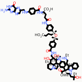 CCNCCc1c([C@@](CCC[C@@](C)(O)CC)(C(=O)OC)c2cc3c(cc2OC)N(C)[C@H]2[C@@](O)(CNC(=O)c4ccc([Si](C)(C)O[Si](C)(CCCC(=O)O)c5ccc(NC(=O)CC[C@H](NC(=O)c6ccc(NCc7cnc8nc(N)[nH]c(=O)c8n7)cc6)C(=O)O)cc5)cc4)[C@H](O)[C@]4(CC)C=CCN5CC[C@]32[C@H]54)[nH]c2ccccc12